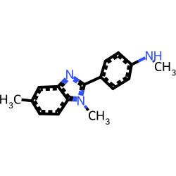 CNc1ccc(-c2nc3cc(C)ccc3n2C)cc1